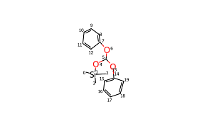 C[Si](C)(C)OC(Oc1ccccc1)Oc1ccccc1